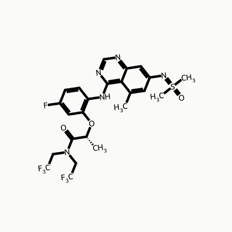 Cc1cc(N=S(C)(C)=O)cc2ncnc(Nc3ccc(F)cc3O[C@H](C)C(=O)N(CC(F)(F)F)CC(F)(F)F)c12